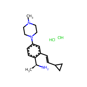 C[C@H](N)c1ccc(N2CCN(C)CC2)cc1/C=C/C1CC1.Cl.Cl